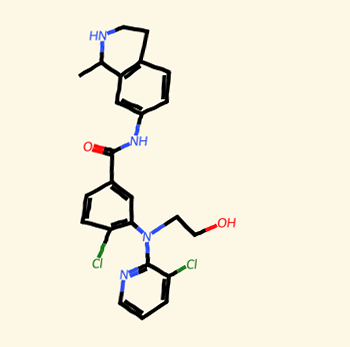 CC1NCCc2ccc(NC(=O)c3ccc(Cl)c(N(CCO)c4ncccc4Cl)c3)cc21